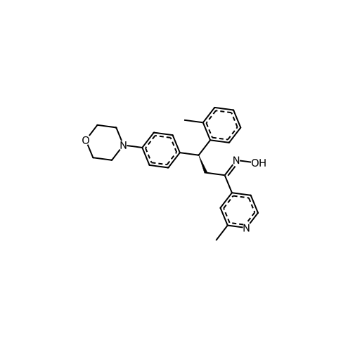 Cc1cc(/C(C[C@@H](c2ccc(N3CCOCC3)cc2)c2ccccc2C)=N\O)ccn1